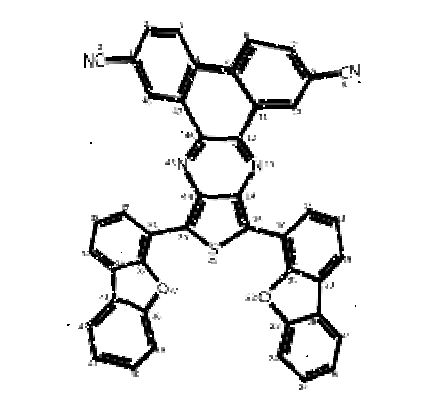 N#Cc1ccc2c3ccc(C#N)cc3c3nc4c(-c5cccc6c5oc5ccccc56)sc(-c5cccc6c5oc5ccccc56)c4nc3c2c1